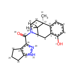 CC1(C)C2Cc3c(O)cccc3[C@]1(C)CCN2C(=O)c1n[nH]c2c1CCC2